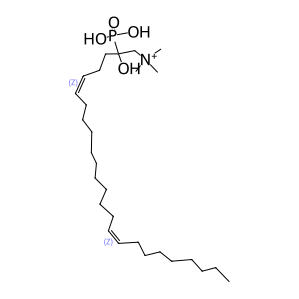 CCCCCCCC/C=C\CCCCCCCCC/C=C\CCC(O)(C[N+](C)(C)C)P(=O)(O)O